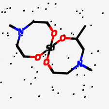 CC1CN(C)CC[O][Sn]2([O]CCN(C)CC[O]2)[O]1